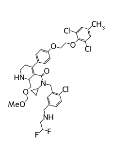 COCOCC1NCCC(c2ccc(OCCOc3c(Cl)cc(C)cc3Cl)cc2)=C1C(=O)N(Cc1cc(CNCC(F)F)ccc1Cl)C1CC1